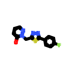 O=c1cccnn1Cc1nnc(-c2ccc(F)cc2)s1